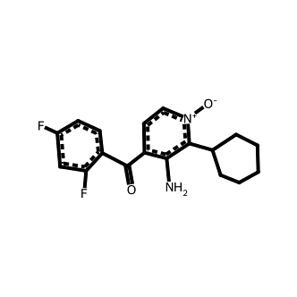 Nc1c(C(=O)c2ccc(F)cc2F)cc[n+]([O-])c1C1CCCCC1